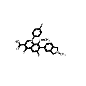 COc1c(-c2ccc3c(c2)CN(C)C3)c(F)cc2c(=O)c(C(=O)O)cn(-c3ccc(F)cc3)c12